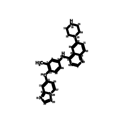 Cc1cc(Nc2ncnc3ccc(N4CCNCC4)cc23)ccc1Oc1ccn2ncnc2c1